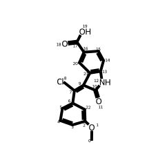 COc1cccc(C(Cl)=C2C(=O)Nc3ccc(C(=O)O)cc32)c1